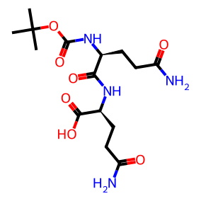 CC(C)(C)OC(=O)N[C@@H](CCC(N)=O)C(=O)N[C@@H](CCC(N)=O)C(=O)O